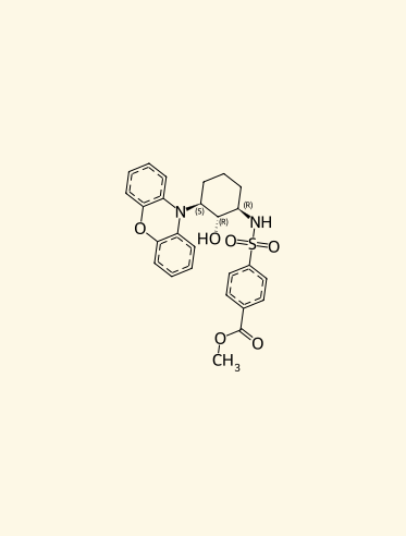 COC(=O)c1ccc(S(=O)(=O)N[C@@H]2CCC[C@H](N3c4ccccc4Oc4ccccc43)[C@H]2O)cc1